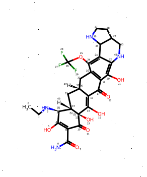 CCN[C@@H]1C(O)=C(C(N)=O)C(=O)[C@@]2(O)C(O)=C3C(=O)c4c(O)c5c(c(OC(F)(F)F)c4C[C@H]3C[C@@H]12)C1NCCC1CN5